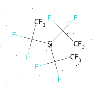 FC(F)(F)C(F)(F)[Si](C(F)(F)C(F)(F)F)C(F)(F)C(F)(F)F